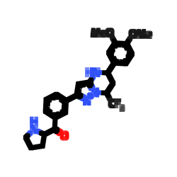 COc1ccc(C2CC(C(F)(F)F)n3nc(-c4cccc(C(=O)C5CCCN5)c4)cc3N2)cc1OC